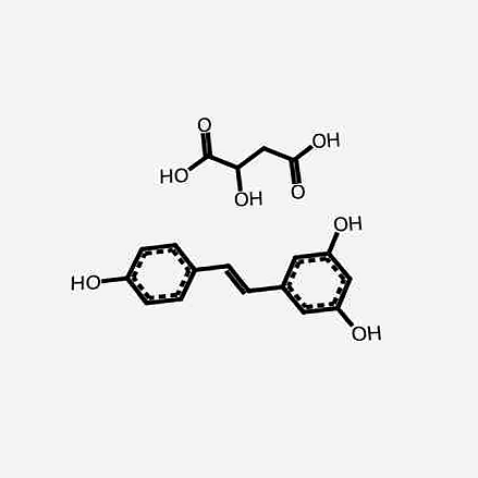 O=C(O)CC(O)C(=O)O.Oc1ccc(C=Cc2cc(O)cc(O)c2)cc1